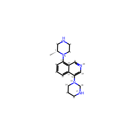 C[C@@H]1CNCCN1c1cccc2c(N3CCCNC3)cncc12